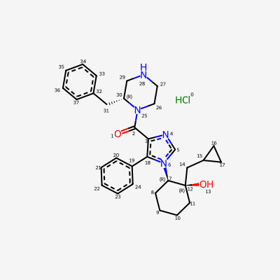 Cl.O=C(c1ncn([C@@H]2CCCC[C@@]2(O)CC2CC2)c1-c1ccccc1)N1CCNC[C@H]1Cc1ccccc1